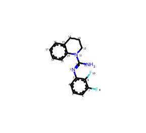 NC(=Nc1cccc(F)c1F)N1CCCc2ccccc21